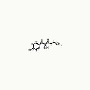 CCCNC(=N)Nc1ccc(I)cc1